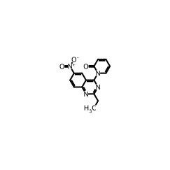 CCc1nc(-n2ccccc2=O)c2cc([N+](=O)[O-])ccc2n1